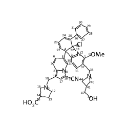 COc1nc(C2(c3ccc4c(CN5CCC(C(=O)O)C5)cc(C#N)n4c3)C=CC=C(c3ccccc3)C2(C)Cl)ccc1CN1CC(CO)C1